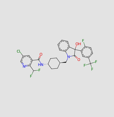 O=C(N[C@H]1CC[C@H](CN2C(=O)C(O)(c3cc(C(F)(F)F)ccc3F)c3ccccc32)CC1)c1cc(Cl)cnc1C(F)F